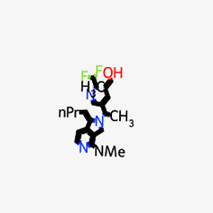 CCC/C=C1\c2ccnc(NC)c2CN1C(C)C(/C=N\CC(F)F)=C/C(C)=C/O